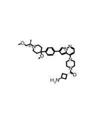 COC[C@@H](C)N1CCC(OC)(c2ccc(-c3cc4c(N5CCN(C(=O)[C@H]6C[C@H](N)C6)CC5)ccnn4c3)cc2)CC1